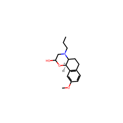 CCCN1CC(O)O[C@@H]2c3cc(OC)ccc3CCC21